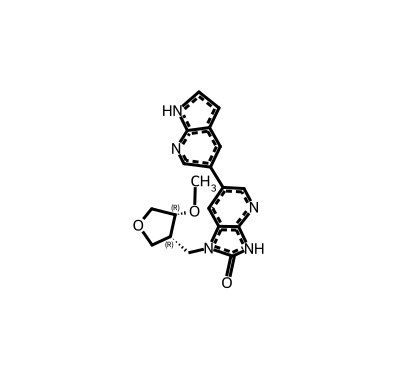 CO[C@H]1COC[C@H]1Cn1c(=O)[nH]c2ncc(-c3cnc4[nH]ccc4c3)cc21